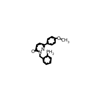 COc1ccc(-c2ccc(=O)n(Cc3ccccc3P)n2)cc1